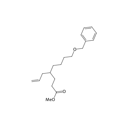 C=CCC(CCCCOCc1ccccc1)CCC(=O)OC